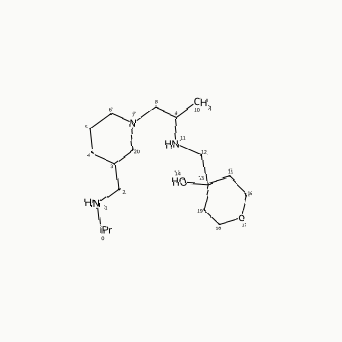 CC(C)NCC1CCCN(CC(C)NCC2(O)CCOCC2)C1